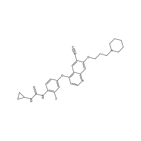 [C-]#[N+]c1cc2c(Oc3ccc(NC(=O)NC4CC4)c(F)c3)ccnc2cc1OCCCN1CCCCC1